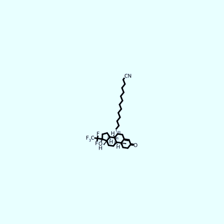 C[C@]12CCC(=O)C=C1C[C@@H](CCCCCCCCCCCCCC#N)[C@@H]1[C@@H]2CC[C@@]2(C)[C@H]1CC[C@@]2(O)C(F)(F)C(F)(F)F